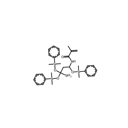 C=C(C)C(=O)NC(CC([SiH3])(O[Si](C)(C)c1ccccc1)O[Si](C)(C)c1ccccc1)O[Si](C)(C)c1ccccc1